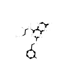 C[C@H](CO)Nc1nc(SCc2cccc(Cl)c2)nc2[nH]c(=O)cnc12